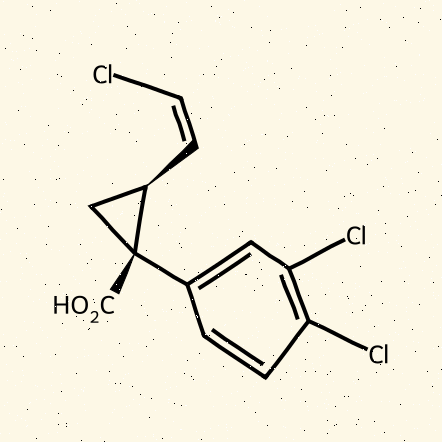 O=C(O)[C@@]1(c2ccc(Cl)c(Cl)c2)C[C@H]1/C=C\Cl